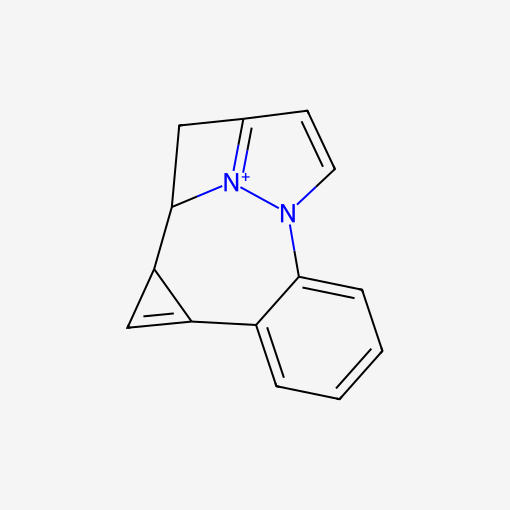 C1=C2c3ccccc3-n3ccc4[n+]3C(C4)C12